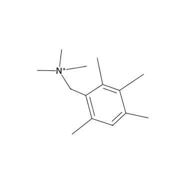 Cc1cc(C)c(C[N+](C)(C)C)c(C)c1C